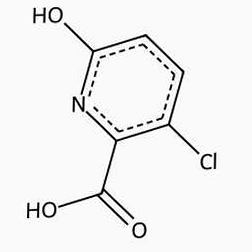 O=C(O)c1nc(O)ccc1Cl